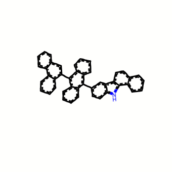 c1ccc2c(c1)cc(-c1c3ccccc3c(-c3ccc4[nH]c5c6ccccc6ccc5c4c3)c3ccccc13)c1ccccc12